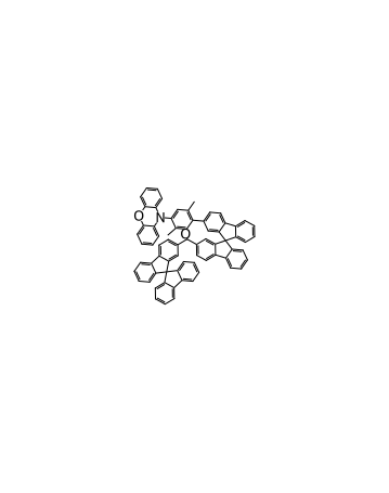 Cc1cc(N2c3ccccc3Oc3ccccc32)c(C)cc1-c1ccc2c(c1)C1(c3ccccc3-c3ccc(C(=O)c4ccc5c(c4)C4(c6ccccc6-c6ccccc64)c4ccccc4-5)cc31)c1ccccc1-2